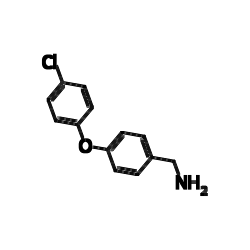 NCc1ccc(Oc2ccc(Cl)cc2)cc1